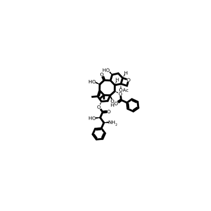 CC(=O)O[C@@]12CO[C@@H]1C[C@H](O)C1C(=O)[C@H](O)C3=C(C)[C@@H](OC(=O)[C@H](O)[C@@H](N)c4ccccc4)C[C@@](O)([C@@H](OC(=O)c4ccccc4)[C@@H]12)C3(C)C